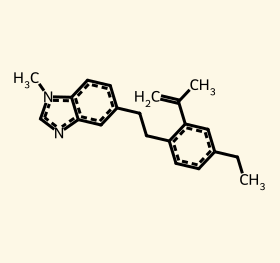 C=C(C)c1cc(CC)ccc1CCc1ccc2c(c1)ncn2C